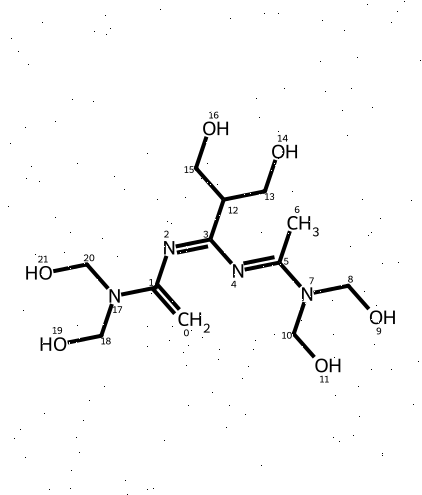 C=C(/N=C(\N=C(/C)N(CO)CO)C(CO)CO)N(CO)CO